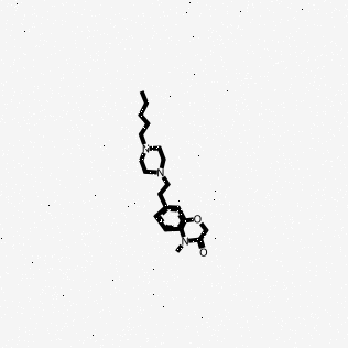 CCCCCN1CCN(CCc2ccc3c(c2)OCC(=O)N3C)CC1